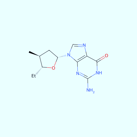 CC[C@H]1O[C@@H](n2cnc3c(=O)[nH]c(N)nc32)C[C@@H]1C